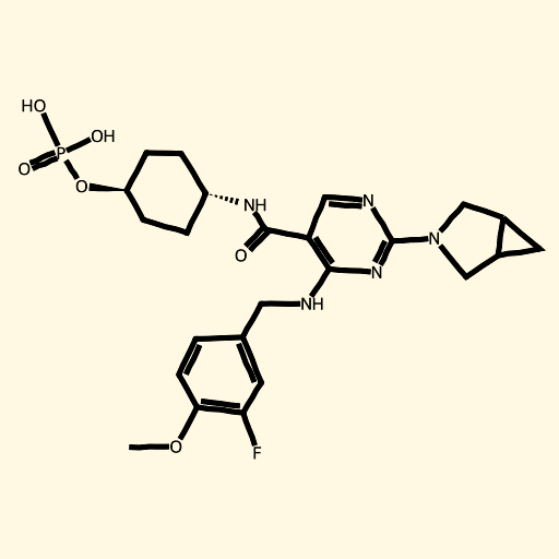 COc1ccc(CNc2nc(N3CC4CC4C3)ncc2C(=O)N[C@H]2CC[C@H](OP(=O)(O)O)CC2)cc1F